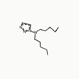 CCCCCN(CCCCC)n1ccnn1